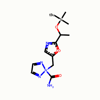 CC(O[Si](C)(C)C(C)(C)C)c1ncc(C[N+]2(C(N)=O)N=[C]C=N2)o1